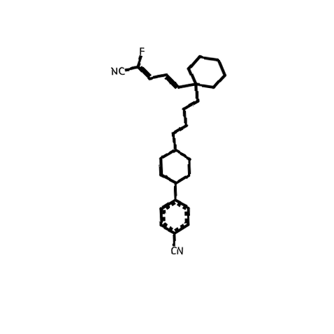 N#CC(F)=CC=CC1(CCCCC2CCC(c3ccc(C#N)cc3)CC2)CCCCC1